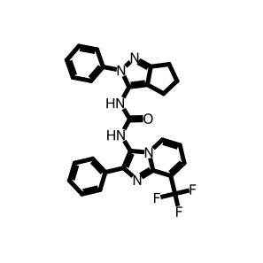 O=C(Nc1c2c(nn1-c1ccccc1)CCC2)Nc1c(-c2ccccc2)nc2c(C(F)(F)F)cccn12